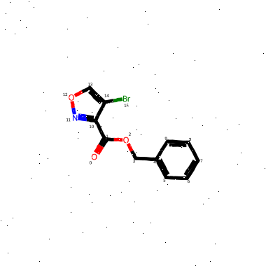 O=C(OCc1ccccc1)c1nocc1Br